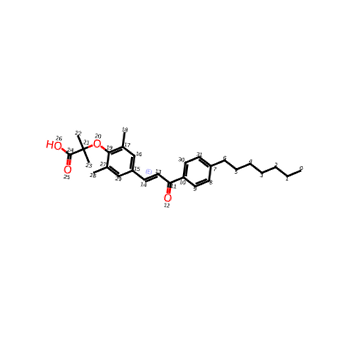 CCCCCCCc1ccc(C(=O)/C=C/c2cc(C)c(OC(C)(C)C(=O)O)c(C)c2)cc1